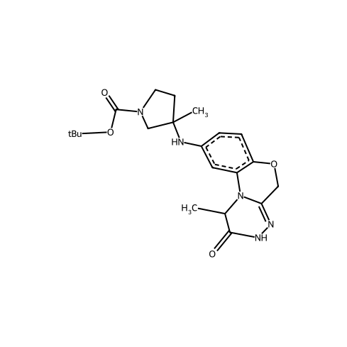 CC1C(=O)NN=C2COc3ccc(NC4(C)CCN(C(=O)OC(C)(C)C)C4)cc3N21